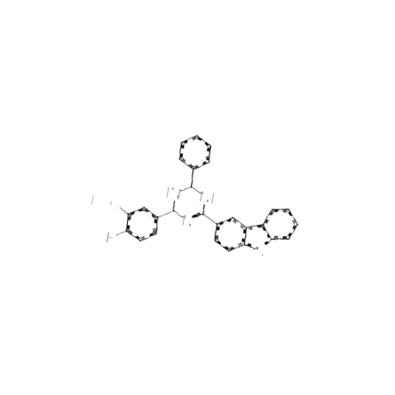 Cc1cc(C2N=C(c3ccc4sc5ccccc5c4c3)NC(c3ccccc3)N2)ccc1F